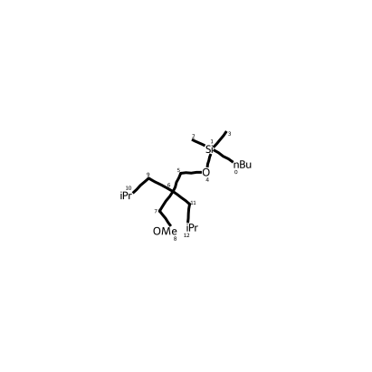 CCCC[Si](C)(C)OCC(COC)(CC(C)C)CC(C)C